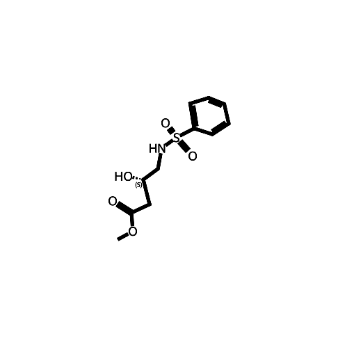 COC(=O)C[C@H](O)CNS(=O)(=O)c1ccccc1